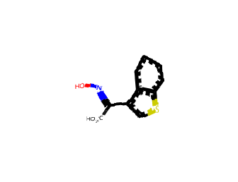 O=C(O)C(=NO)c1csc2ccccc12